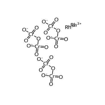 [O]=[Cr](=[O])([O-])[O][Cr](=[O])(=[O])[O-].[O]=[Cr](=[O])([O-])[O][Cr](=[O])(=[O])[O-].[O]=[Cr](=[O])([O-])[O][Cr](=[O])(=[O])[O-].[Rh+3].[Rh+3]